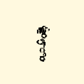 CS(=O)(=O)Nc1cccc(C23CCCC(C2)N(Cc2cccc(Oc4ccccc4)c2)CC3)c1